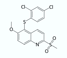 COc1ccc2nc(S(C)(=O)=O)ccc2c1Sc1ccc(Cl)cc1Cl